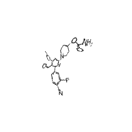 COc1cc(N2CCC(OC(N)=O)CC2)nc(-c2ccc(C#N)c(F)c2)c1C=O